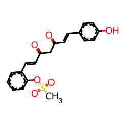 CS(=O)(=O)Oc1ccccc1C=CC(=O)CC(=O)C=Cc1ccc(O)cc1